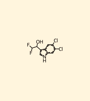 OC(c1c[nH]c2cc(Cl)c(Cl)cc12)C(F)F